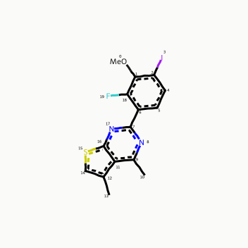 COc1c(I)ccc(-c2nc(C)c3c(C)csc3n2)c1F